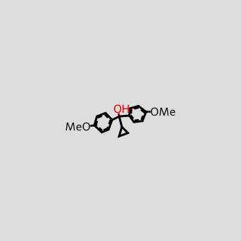 COc1ccc(C(O)(c2ccc(OC)cc2)C2CC2)cc1